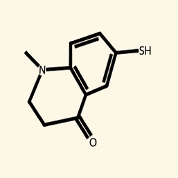 CN1CCC(=O)c2cc(S)ccc21